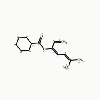 C=C/C(=C\C=C(C)C)OC(=O)C1CCCCC1